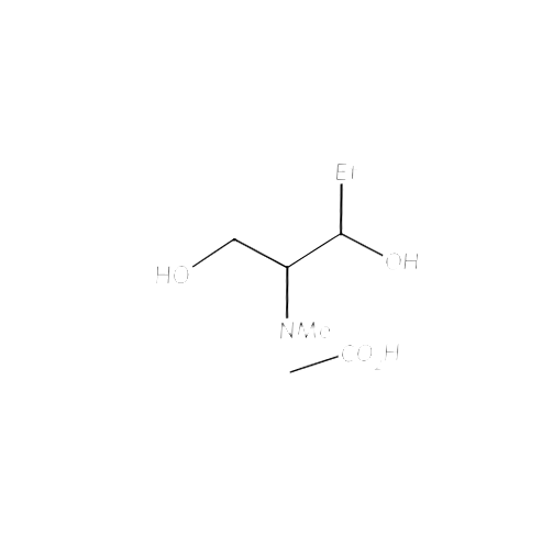 CC(=O)O.CCC(O)C(CO)NC